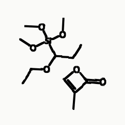 CC1=COC1=O.CCOC(CC)[Si](OC)(OC)OC